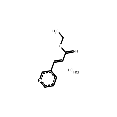 CCOC(=N)C=Cc1cccnc1.Cl.Cl